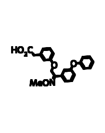 CO/N=C(\COc1cccc(CC(=O)O)c1)c1cccc(Oc2ccccc2)c1